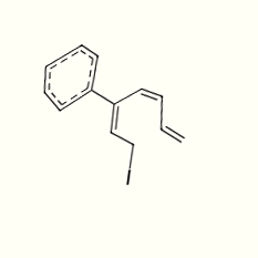 C=C/C=C\C(=C/CI)c1ccccc1